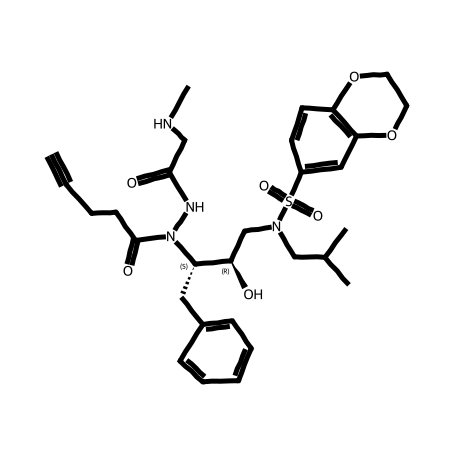 C#CCCC(=O)N(NC(=O)CNC)[C@@H](Cc1ccccc1)[C@H](O)CN(CC(C)C)S(=O)(=O)c1ccc2c(c1)OCCO2